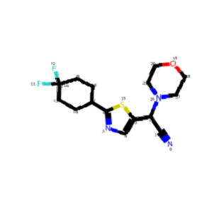 N#CC(c1cnc(C2CCC(F)(F)CC2)s1)N1CCOCC1